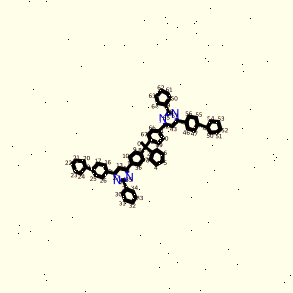 CC(c1ccccc1)(c1ccc(-c2cc(-c3ccc(-c4ccccc4)cc3)nc(-c3ccccc3)n2)cc1)c1ccc(-c2cc(-c3ccc(-c4ccccc4)cc3)nc(-c3ccccc3)n2)cc1